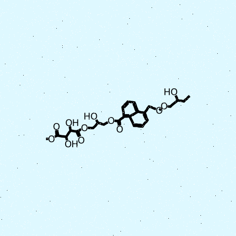 CCC(O)COOCc1cccc2c(C(=O)OCC(O)COC(=O)C(O)C(O)C(=O)OC)cccc12